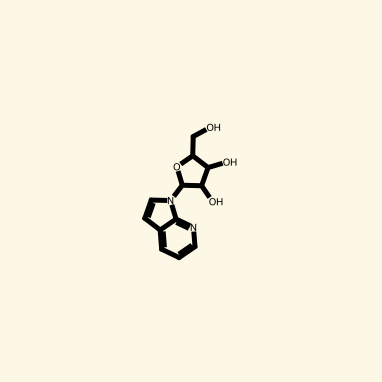 OCC1OC(n2ccc3cccnc32)C(O)C1O